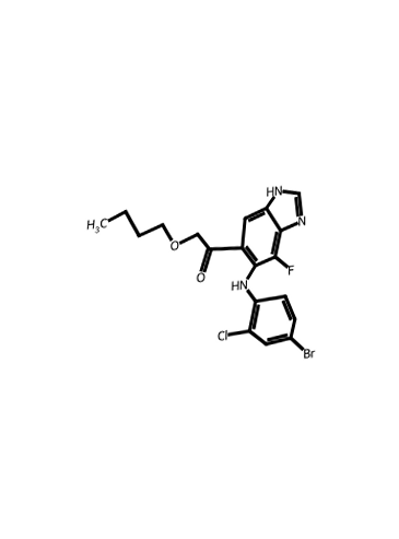 CCCCOCC(=O)c1cc2[nH]cnc2c(F)c1Nc1ccc(Br)cc1Cl